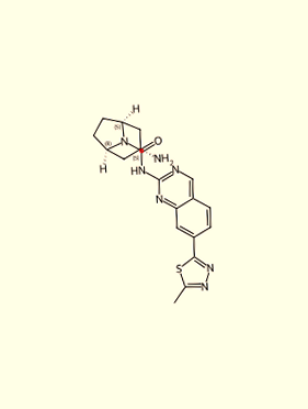 Cc1nnc(-c2ccc3cnc(NC(=O)N4[C@@H]5CC[C@H]4C[C@H](N)C5)nc3c2)s1